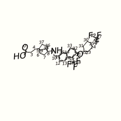 O=C(O)CCC12CCC(NCc3ccc4c(C(F)(F)F)c(O[C@H]5CC[C@@H](C(F)(F)F)CC5)ccc4c3)(CC1)CC2